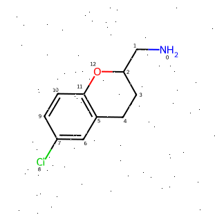 NCC1CCc2cc(Cl)ccc2O1